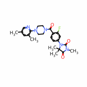 Cc1cnc(N2CCN(C(=O)c3ccc(N4C(=O)N(C)C(=O)C4(C)C)cc3F)CC2)c(C)c1